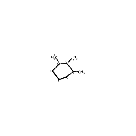 CC1CCC[C@H](C)N1C